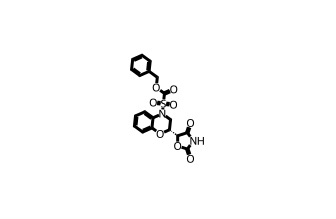 O=C1NC(=O)C([C@H]2CN(S(=O)(=O)C(=O)OCc3ccccc3)c3ccccc3O2)O1